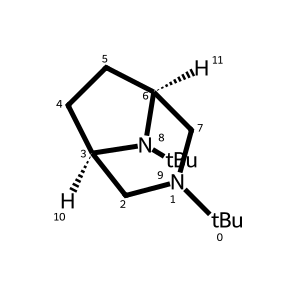 CC(C)(C)N1C[C@H]2CC[C@@H](C1)N2C(C)(C)C